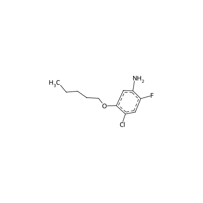 CCCCCOc1cc(N)c(F)cc1Cl